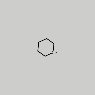 C1C[CH2][Ce][CH2]C1